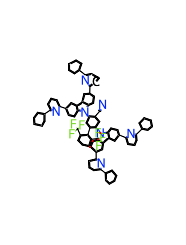 N#Cc1cc(-n2c3ccc(-c4cccc(-c5ccccc5)n4)cc3c3cc(-c4cccc(-c5ccccc5)n4)ccc32)c(-c2c(C(F)(F)F)cccc2C(F)(F)F)cc1-n1c2ccc(-c3cccc(-c4ccccc4)n3)cc2c2cc(-c3cccc(-c4ccccc4)n3)ccc21